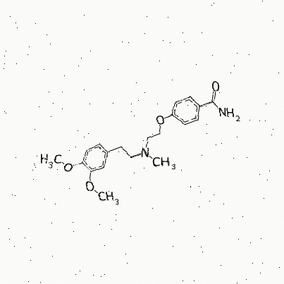 COc1ccc(CCN(C)CCOc2ccc(C(N)=O)cc2)cc1OC